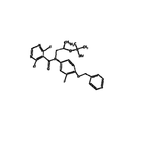 CC(CN(C(=O)c1c(Cl)ncnc1Cl)c1ccc(OCc2ccccc2)c(F)c1)O[Si](C)(C)C(C)(C)C